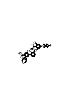 O=C(O)c1cc(F)c(-c2cccc3c2OCN(C(=O)c2c(Cl)cc(N4CC5(CC(F)C5)C4)cc2Cl)C3)cc1N1C2CCC1COC2